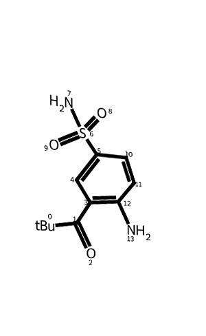 CC(C)(C)C(=O)c1cc(S(N)(=O)=O)ccc1N